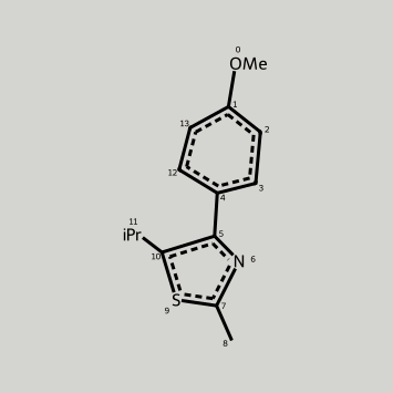 COc1ccc(-c2nc(C)sc2C(C)C)cc1